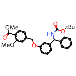 COC(=O)c1ccc(COc2cccc(C(NC(=O)OC(C)(C)C)c3ccccc3)c2)cc1OC